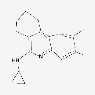 Cc1cc2nc(NC3CC3)c3c(c2cc1C)CCCC3